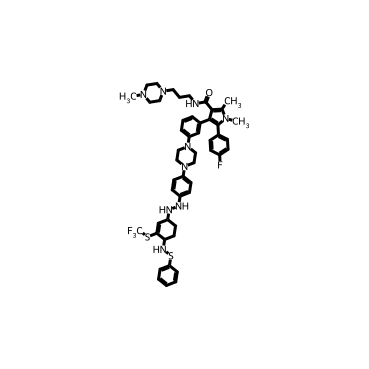 Cc1c(C(=O)NCCCN2CCN(C)CC2)c(-c2cccc(N3CCN(c4ccc(NNC5C=C(SC(F)(F)F)C(NSc6ccccc6)CC5)cc4)CC3)c2)c(-c2ccc(F)cc2)n1C